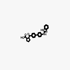 O=C(O)C1CCCC1C(=O)c1ccc(-c2ccc(Nc3nc4ccccc4[nH]3)cc2)cc1